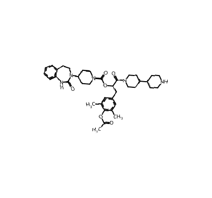 CC(=O)Oc1c(C)cc(C[C@@H](OC(=O)N2CCC(N3CCc4ccccc4NC3=O)CC2)C(=O)N2CCC(C3CCNCC3)CC2)cc1C